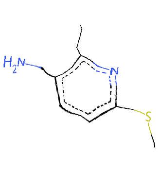 CSc1ccc(N)c(C)n1